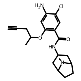 C#CCC(C)Oc1cc(N)c(Cl)cc1C(=O)NC1CC2CCC(C1)N2C